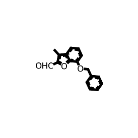 Cc1c(C=O)oc2c(OCc3ccccc3)cccc12